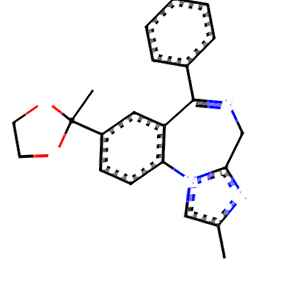 Cc1cn2c(n1)CN=C(c1ccccc1)c1cc(C3(C)OCCO3)ccc1-2